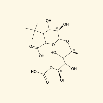 C[C@H](OC1OC(C(=O)O)C(C(C)(C)C)C(O)[C@H]1O)C(O)C(O)[C@@H](O)OC(=O)O